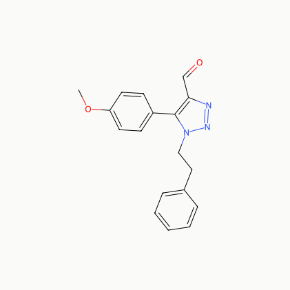 COc1ccc(-c2c(C=O)nnn2CCc2ccccc2)cc1